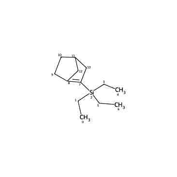 CC[Si](CC)(CC)C1=C2CCC(C2)C1